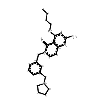 CCCCNc1nc(N)nc2ccn(Cc3cccc(CN4CCCC4)c3)c(=O)c12